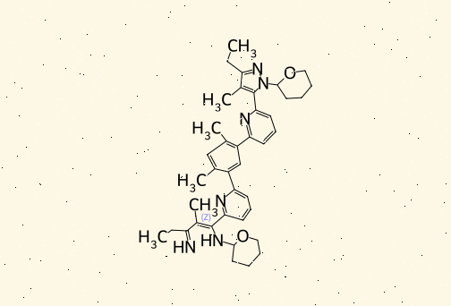 CCC(=N)/C(C)=C(\NC1CCCCO1)c1cccc(-c2cc(-c3cccc(-c4c(C)c(CC)nn4C4CCCCO4)n3)c(C)cc2C)n1